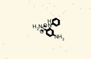 Nc1ccc(S(N)(=O)=O)c(Nc2ccccc2)c1